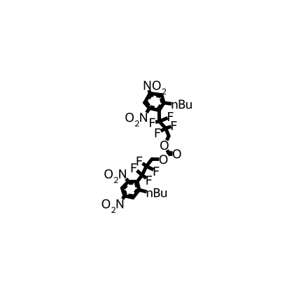 CCCCc1cc([N+](=O)[O-])cc([N+](=O)[O-])c1C(F)(F)C(F)(F)COC(=O)OCC(F)(F)C(F)(F)c1c(CCCC)cc([N+](=O)[O-])cc1[N+](=O)[O-]